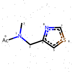 CC(=O)N(C)Cc1cs[c]n1